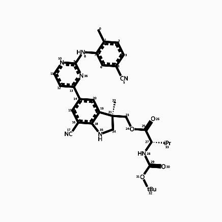 Cc1ccc(C#N)cc1Nc1nccc(-c2cc(C#N)c3c(c2)[C@@](C)(COC(=O)[C@@H](NC(=O)OC(C)(C)C)C(C)C)CN3)n1